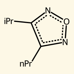 CCCc1nonc1C(C)C